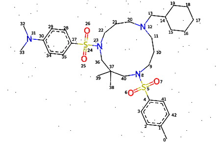 Cc1ccc(S(=O)(=O)N2CCCN(CC3CCCCC3)CCCN(S(=O)(=O)c3ccc(N(C)C)cc3)CC(C)(C)C2)cc1